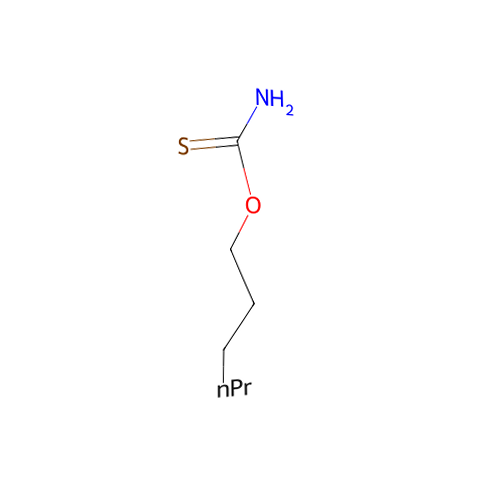 CCCCCCOC(N)=S